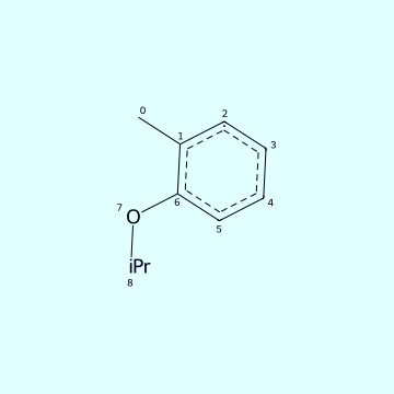 Cc1[c]cccc1OC(C)C